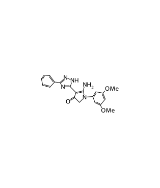 COc1cc(OC)cc(N2CC(=O)C(c3nc(-c4ccccc4)n[nH]3)=C2N)c1